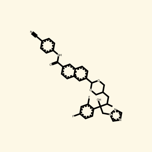 CC(CC1COC(c2ccc3cc(C(=O)Nc4ccc(C#N)cc4)ccc3c2)OC1)C(O)(Cn1cncn1)c1ccc(F)cc1F